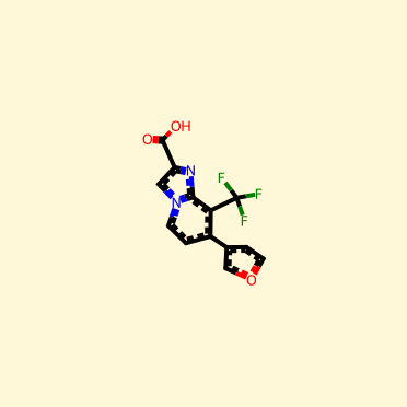 O=C(O)c1cn2ccc(-c3ccoc3)c(C(F)(F)F)c2n1